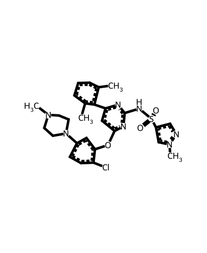 Cc1cccc(C)c1-c1cc(Oc2cc(N3CCN(C)CC3)ccc2Cl)nc(NS(=O)(=O)c2cnn(C)c2)n1